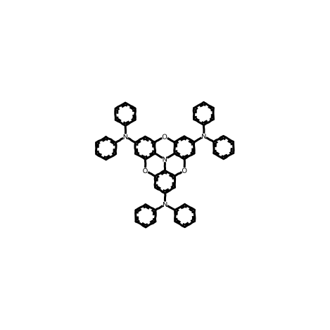 c1ccc(N(c2ccccc2)c2cc3c4c(c2)Oc2cc(N(c5ccccc5)c5ccccc5)cc5c2N4c2c(cc(N(c4ccccc4)c4ccccc4)cc2O5)O3)cc1